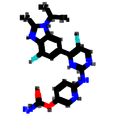 Cc1nc2c(F)cc(-c3nc(Nc4ccc(OC(N)=O)cn4)ncc3F)cc2n1C(C)C